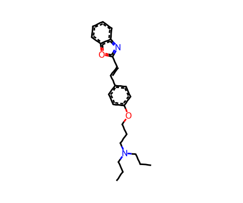 CCCN(CCC)CCCOc1ccc(C=Cc2nc3ccccc3o2)cc1